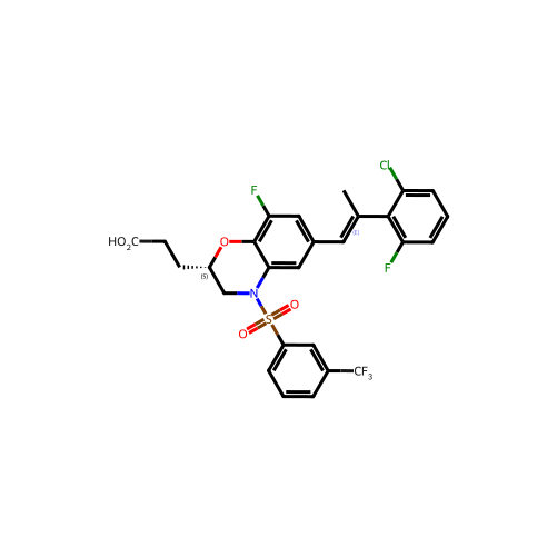 C/C(=C\c1cc(F)c2c(c1)N(S(=O)(=O)c1cccc(C(F)(F)F)c1)C[C@H](CCC(=O)O)O2)c1c(F)cccc1Cl